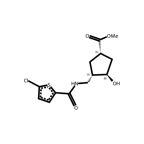 COC(=O)[C@H]1C[C@@H](CNC(=O)c2ccc(Cl)s2)[C@H](O)C1